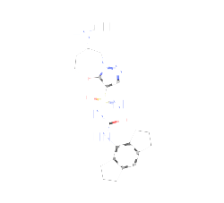 CN[C@H]1CCOc2c([S@](=N)(=O)NC(=O)Nc3c4c(cc5c3CCC5)CCC4)cnn2C1